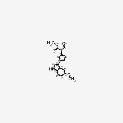 COC(=O)C(C=O)c1cc(-c2c[nH]c3ccc(OC)cc23)cs1